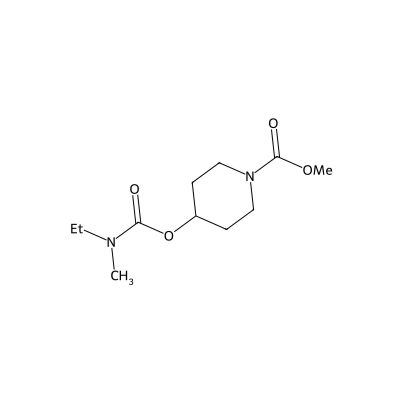 [CH2]CN(C)C(=O)OC1CCN(C(=O)OC)CC1